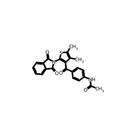 CC(=O)Nc1ccc(C(=O)c2c(N3C(=O)c4ccccc4C3=O)sc(C)c2C)cc1